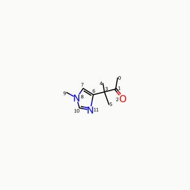 CC(=O)C(C)(C)c1cn(C)cn1